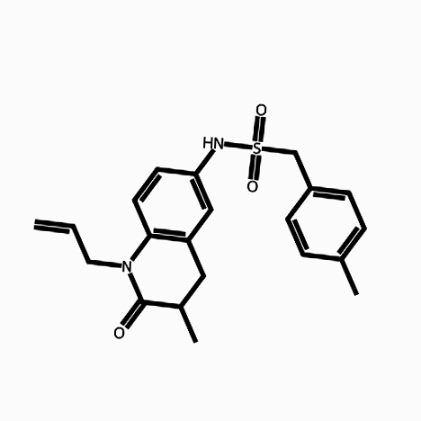 C=CCN1C(=O)C(C)Cc2cc(NS(=O)(=O)Cc3ccc(C)cc3)ccc21